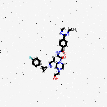 C=C/N=C(\N=C/C)c1ccc(C(=O)N[C@@H](CCCN[C@@H]2C[C@H]2c2ccc(F)cc2)C(=O)N2CCN(CCO)CC2)cc1